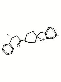 C[C@H](CC(=O)N1CCC(O)(Cc2cc[c]cc2)CC1)c1ccccc1